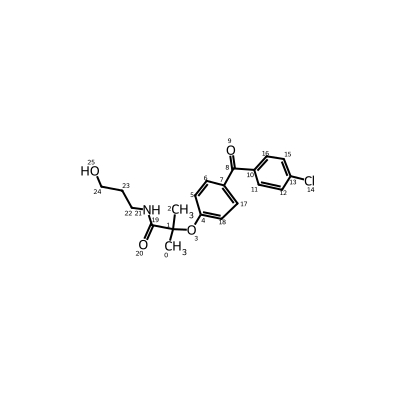 CC(C)(Oc1ccc(C(=O)c2ccc(Cl)cc2)cc1)C(=O)NCCCO